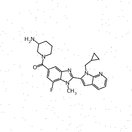 Cn1c(-c2cc3cccnc3n2CC2CC2)nc2cc(C(=O)N3CCCC(N)C3)cc(F)c21